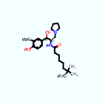 COc1cc([C@@H](O)[C@@H](CN2CCCC2)NC(=O)CCCCCC(C)(C)OC)ccc1O